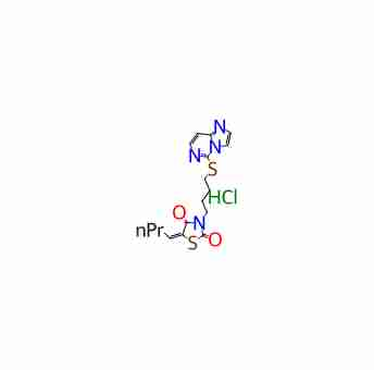 CCC/C=C1/SC(=O)N(CCCCSc2nccc3nccn23)C1=O.Cl